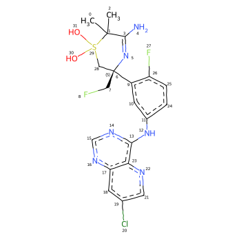 CC1(C)C(N)=N[C@](CF)(c2cc(Nc3ncnc4cc(Cl)cnc34)ccc2F)CS1(O)O